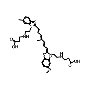 CSc1ccc2c(c1)N(CCNCCC(=O)O)/C(=C/C=C/C(C)=C/C=C/c1sc3ccc(C)cc3[n+]1CCNCCC(=O)O)S2